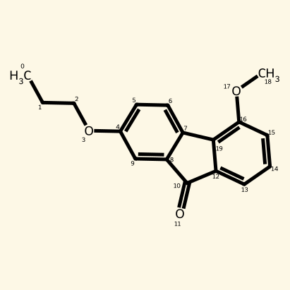 CCCOc1ccc2c(c1)C(=O)c1cccc(OC)c1-2